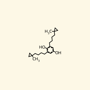 CC1(CCCCc2cc(O)cc(CCCCC3(C)CC3)c2O)CC1